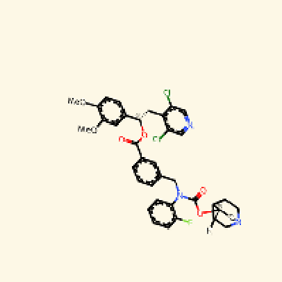 COc1ccc([C@H](Cc2c(Cl)cncc2Cl)OC(=O)c2cccc(CN(C(=O)O[C@H]3CN4CCC3CC4)c3ccccc3F)c2)cc1OC